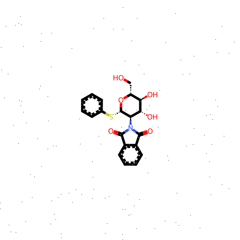 O=C1c2ccccc2C(=O)N1[C@@H]1[C@@H](O)[C@H](O)[C@@H](CO)O[C@H]1Sc1ccccc1